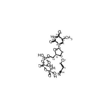 Cc1cn([C@H]2C[C@H](OC=CC#N)[C@@H](COP(=O)(O)OP(=O)(O)OP(=O)(O)O)O2)c(=O)[nH]c1=O